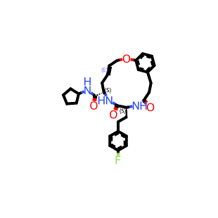 O=C1CCc2cccc(c2)OC/C=C/C[C@@H](C(=O)NC2CCCC2)NC(=O)[C@H](CCc2ccc(F)cc2)N1